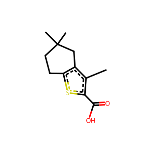 Cc1c(C(=O)O)sc2c1CC(C)(C)CC2